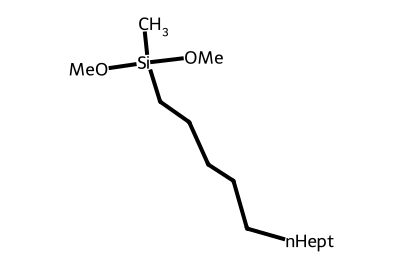 CCCCCCCCCCCC[Si](C)(OC)OC